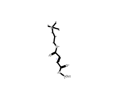 CCCCCCCCOC(=O)/C=C/C(=O)OCCC[Si](C)(C)C